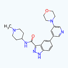 CN1CCC(NC(=O)c2n[nH]c3ccc(-c4cncc(N5CCOCC5)c4)cc23)CC1